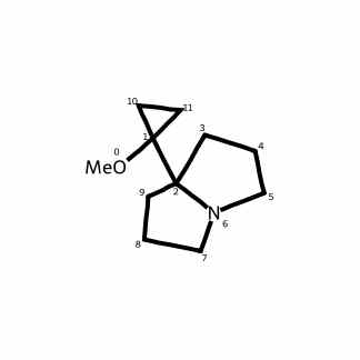 COC1(C23CCCN2CCC3)CC1